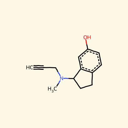 C#CCN(C)C1CCc2ccc(O)cc21